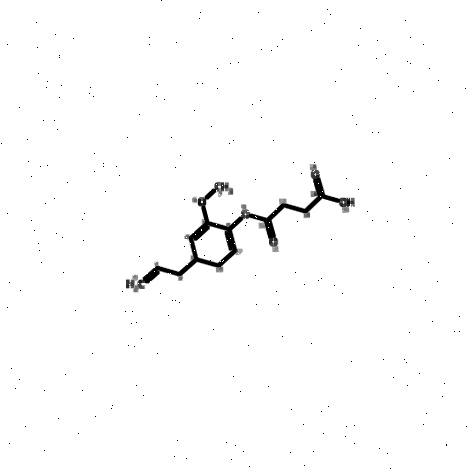 C=CCC1C=C(OC)C(OC(=O)CCC(=O)O)=CC1